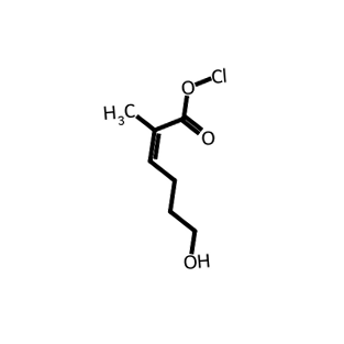 CC(=CCCCO)C(=O)OCl